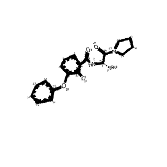 CC(C)(C)[C@H](NC(=O)c1cccc(Oc2ccccc2)c1Cl)C(=O)N1CCCC1